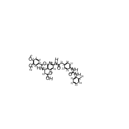 COc1ccc(C(=O)NC(CC(=O)O)c2ccc(NC(=O)Cc3ccc(NC(=O)Nc4ccccc4C)cc3)nc2)cc1OC